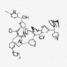 Cc1ccc(C(O)c2ccc3nc(N4CCC4c4cccc(-c5c(Cl)nc6ccc(C(O)c7ccncc7)cc6c5Cl)c4)c(Cc4ccc(C(F)(F)F)cc4)c(Cl)c3c2)c(C)n1